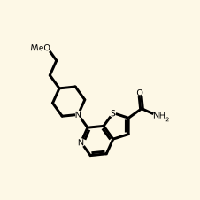 COCCC1CCN(c2nccc3cc(C(N)=O)sc23)CC1